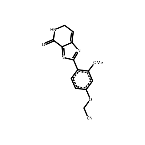 COc1cc(OCC#N)ccc1C1=NC2=CCNC(=O)C2=N1